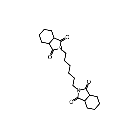 O=C1C2CCCCC2C(=O)N1CCCCCCN1C(=O)C2CCCCC2C1=O